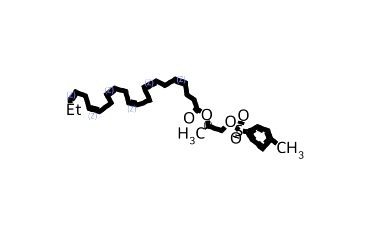 CC/C=C\C/C=C\C/C=C\C/C=C\C/C=C\C/C=C\CCC(=O)O[C@@H](C)COS(=O)(=O)c1ccc(C)cc1